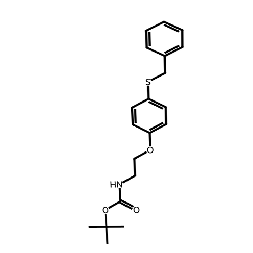 CC(C)(C)OC(=O)NCCOc1ccc(SCc2ccccc2)cc1